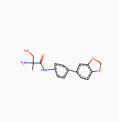 CC(N)(CO)C(=O)Nc1ccc(-c2ccc3c(c2)OCO3)cc1